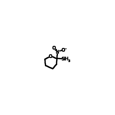 O=[N+]([O-])C1([SiH3])CCCCO1